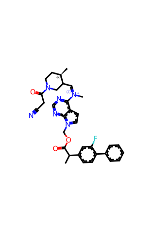 CC(C(=O)OCn1ccc2c(/[N+](C)=C\C3CN(C(=O)CC#N)CC[C@H]3C)ncnc21)c1ccc(-c2ccccc2)c(F)c1